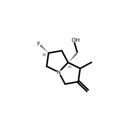 C=C1CN2C[C@H](F)C[C@@]2(CO)C1C